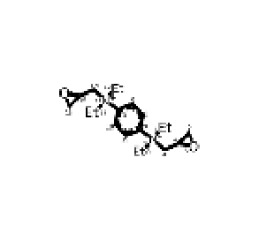 CC[N+](CC)(CC1CO1)c1ccc([N+](CC)(CC)CC2CO2)cc1